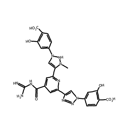 CN1NN(c2ccc(C(=O)O)c(O)c2)C=C1c1cc(C(=O)NC(=N)N)cc(-c2cn(-c3ccc(C(=O)O)c(O)c3)nn2)n1